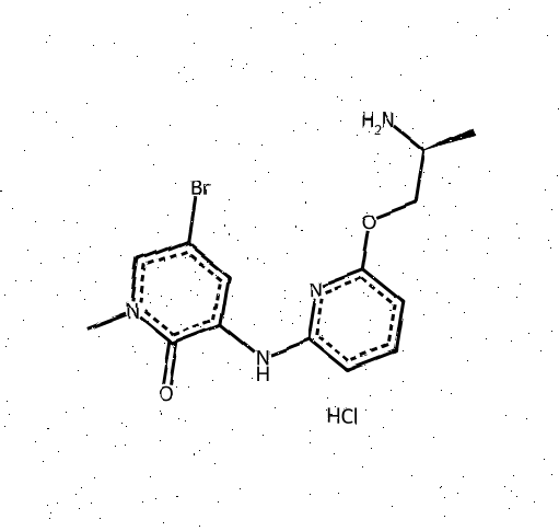 C[C@H](N)COc1cccc(Nc2cc(Br)cn(C)c2=O)n1.Cl